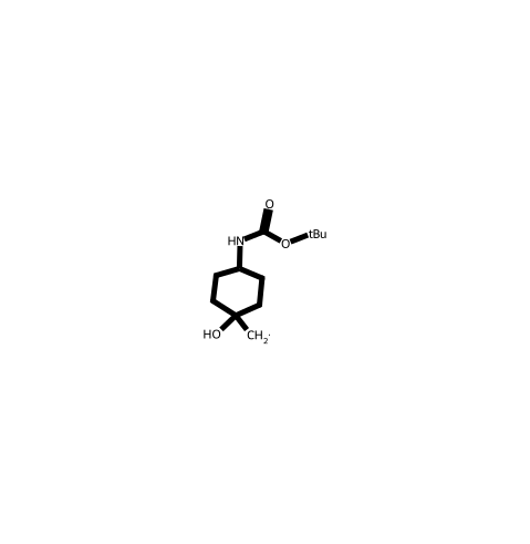 [CH2]C1(O)CCC(NC(=O)OC(C)(C)C)CC1